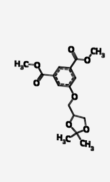 COC(=O)c1cc(OCC2COC(C)(C)O2)cc(C(=O)OC)c1